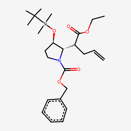 C=CCC(C(=O)OCC)[C@H]1[C@H](O[Si](C)(C)C(C)(C)C)CCN1C(=O)OCc1ccccc1